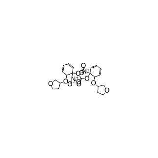 O=C(OC1([N+](=O)[O-])C=CC=CC1OC1CCOC1)OC1([N+](=O)[O-])C=CC=CC1OC1CCOC1